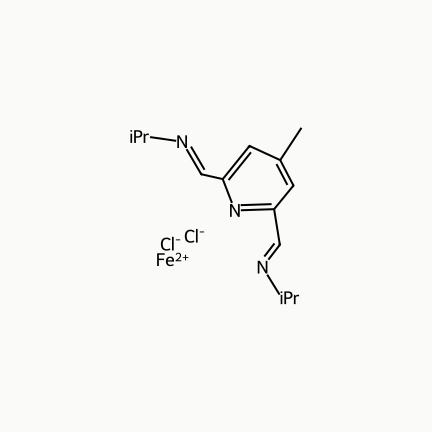 Cc1cc(C=NC(C)C)nc(C=NC(C)C)c1.[Cl-].[Cl-].[Fe+2]